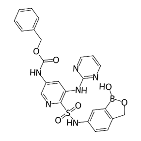 O=C(Nc1cnc(S(=O)(=O)Nc2ccc3c(c2)B(O)OC3)c(Nc2ncccn2)c1)OCc1ccccc1